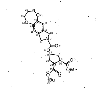 COC(=O)[C@@H]1C[C@@H](OC(=O)N2Cc3cc4c(cc3C2)OCCCO4)CN1C(=O)OC(C)(C)C